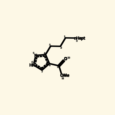 CCCCCCCCCCc1n[nH]cc1C(=O)OC